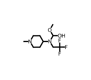 COC(O)N(CC(F)(F)F)C1CCN(C)CC1